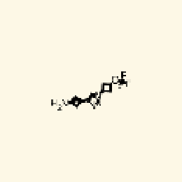 NC12CC(c3cn(C4CC(OC(F)(F)F)C4)nn3)(C1)C2